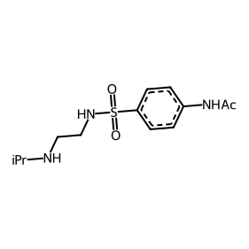 CC(=O)Nc1ccc(S(=O)(=O)NCCNC(C)C)cc1